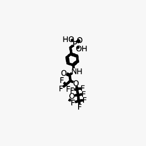 COC(F)(C(F)(F)F)C(F)(F)OC(C(=O)Nc1ccc(CP(=O)(O)O)cc1)C(F)(F)F